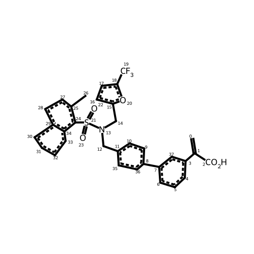 C=C(C(=O)O)c1cccc(-c2ccc(CN(Cc3ccc(C(F)(F)F)o3)S(=O)(=O)c3c(C)ccc4ccccc34)cc2)c1